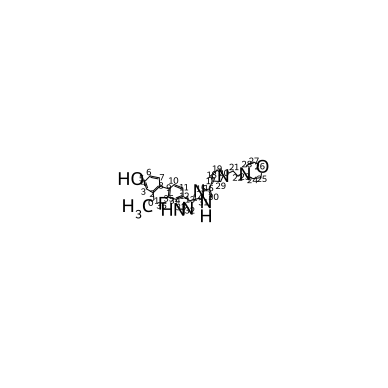 CCc1cc(O)ccc1-c1ccc2c(-c3nc(C4=CCN(CCN5CCOCC5)C4)c[nH]3)n[nH]c2c1F